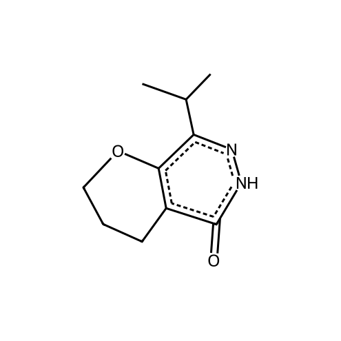 CC(C)c1n[nH]c(=O)c2c1OCCC2